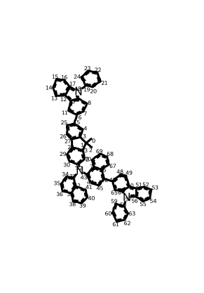 CC1(C)c2cc(-c3ccc4c(c3)c3ccccc3n4-c3ccccc3)ccc2-c2ccc(N(c3cccc4ccccc34)c3ccc(-c4ccc5c6ccccc6n(-c6ccccc6)c5c4)c4ccccc34)cc21